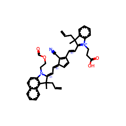 C=CCC1(C)C(/C=C/C2=C(C#N)C(=C/C=C3\N(CCOC=O)c4ccc5ccccc5c4C3(C)CC=C)/C=C2)=[N+](CCC(=O)O)c2ccccc21